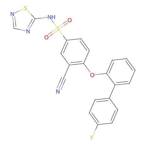 N#Cc1cc(S(=O)(=O)Nc2ncns2)ccc1Oc1ccccc1-c1ccc(F)cc1